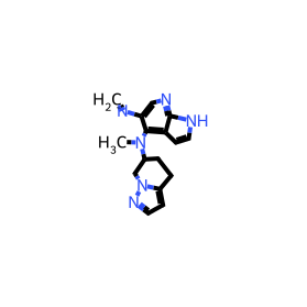 C=Nc1cnc2[nH]ccc2c1N(C)C1CCc2ccnn2C1